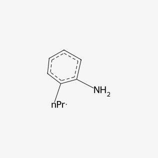 CC[CH]c1ccccc1N